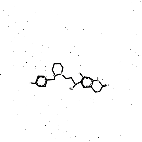 O=C1CCc2cc(C(O)CCN3CCCCC3Cc3ccc(F)cc3)c(Cl)cc2N1